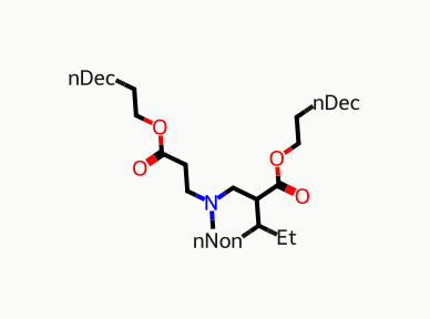 CCCCCCCCCCCCOC(=O)CCN(C)CC(C(=O)OCCCCCCCCCCCC)C(CC)CCCCCCCCC